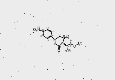 CCCC(NOCC)=C1C(=O)CC(c2ccc([N+](=O)[O-])cc2)CC1=O